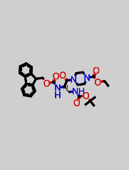 CCOC(=O)N1CCN(C(=O)[C@H](CNC(=O)OC(C)(C)C)NC(=O)OCC2c3ccccc3-c3ccccc32)CC1